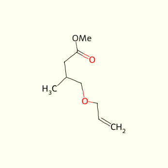 C=CCOCC(C)CC(=O)OC